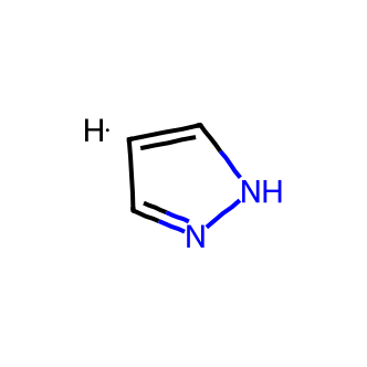 [H].c1cn[nH]c1